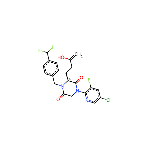 C=C(O)CC[C@H]1C(=O)N(c2ncc(Cl)cc2F)CC(=O)N1Cc1ccc(C(F)F)cc1